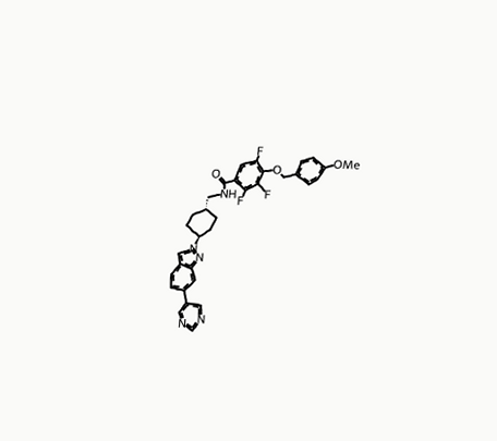 COc1ccc(COc2c(F)cc(C(=O)NC[C@H]3CC[C@H](n4cc5ccc(-c6cncnc6)cc5n4)CC3)c(F)c2F)cc1